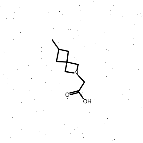 CC1CC2(C1)CN(CC(=O)O)C2